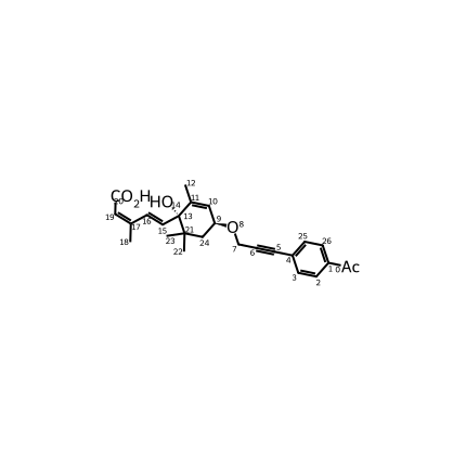 CC(=O)c1ccc(C#CCO[C@@H]2C=C(C)[C@](O)(/C=C/C(C)=C\C(=O)O)C(C)(C)C2)cc1